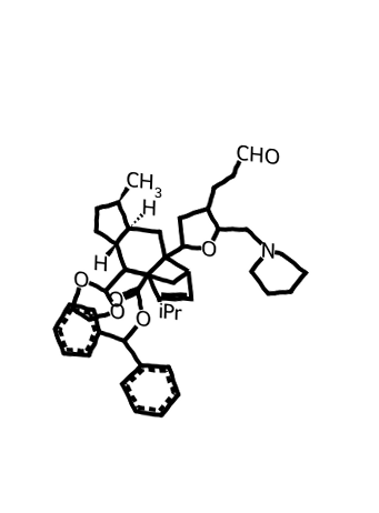 CC(C)C1=CC2CC3(C4OCCO4)[C@@H]4CC[C@@H](C)[C@H]4CC2(C2CC(CCC=O)C(CN4CCCCC4)O2)C13C(=O)OC(c1ccccc1)c1ccccc1